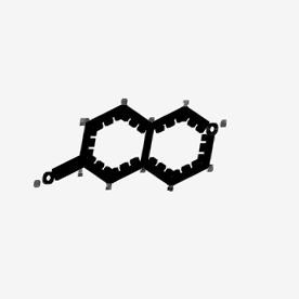 O=c1[c]c2ccocc-2cc1